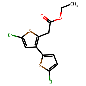 CCOC(=O)Cc1sc(Br)cc1-c1ccc(Cl)s1